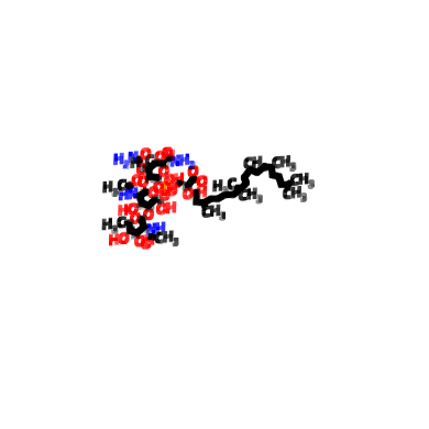 CC(=O)N[C@H]1[C@H](O[C@H]2[C@@H](OP(=O)(O)OC[C@@H](OCCC(C)CCCCC(C)(C)CCC(C)CCC(C)CCCC(C)C)C(=O)O)O[C@H](C(N)=O)[C@@](C)(O)[C@@H]2OC(N)=O)O[C@H](CO)[C@@H](O[C@@H]2O[C@H](C)[C@@H](O)[C@H](O)[C@H]2NC(C)=O)[C@@H]1O